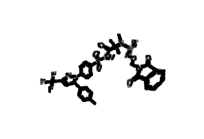 Cc1ccc(-c2cc(C(F)(F)F)nn2-c2ccc(S(=O)(=O)NC(=O)C(C)(C)N(C)/[N+]([O-])=N/OCN3C(=O)c4ccccc4C3=O)cc2)cc1